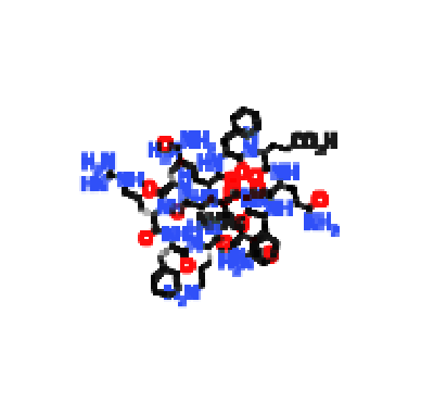 CC(=O)N[C@@H](CCC(N)=O)C(=O)N[C@@H](CCC(N)=O)C(=O)N[C@@H](CCCNC(=N)N)C(=O)N[C@@H](Cc1ccccc1)C(=O)N[C@@H](CCCN)C(=O)N[C@@H](Cc1c[nH]c2ccccc12)C(=O)N[C@@H](CCCN)C(=O)N[C@@H](Cc1ccccc1)C(=O)N[C@@H](CCC(=O)O)C(=O)N[C@@H](CCC(N)=O)C(=O)N[C@@H](CCC(N)=O)C(N)=O